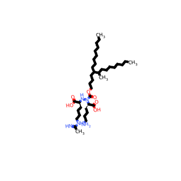 CCCCCCCCCC(CCCCOC(=O)N(N[C@@H](CCCCNC(C)=N)C(=O)O)[C@@H](CCCCN)C(=O)O)C(C)CCCCCCCC